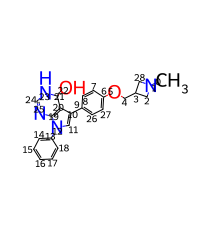 CN1CC(COc2ccc(-c3cn(-c4ccccc4)c4c3C(O)NC=N4)cc2)C1